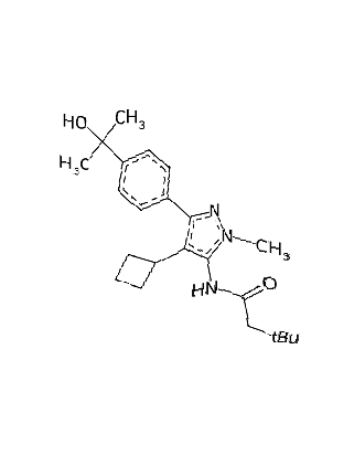 Cn1nc(-c2ccc(C(C)(C)O)cc2)c(C2CCC2)c1NC(=O)CC(C)(C)C